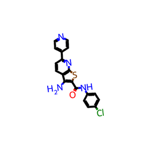 Nc1c(C(=O)Nc2ccc(Cl)cc2)sc2nc(-c3ccncc3)ccc12